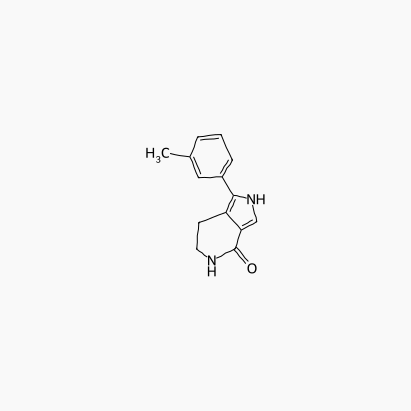 Cc1cccc(-c2[nH]cc3c2CCNC3=O)c1